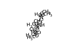 CC(C)Oc1cc2c(cc1Nc1ncc(Cl)c(Nc3ccccc3S(=O)(=O)C(C)C)n1)CCN(C(=O)OC(C)(C)C)C2